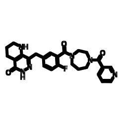 O=C(c1cccnc1)N1CCCN(C(=O)c2cc(Cc3n[nH]c(=O)c4c3NCCC4)ccc2F)CC1